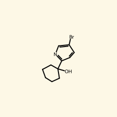 OC1(c2ccc(Br)cn2)CCCCC1